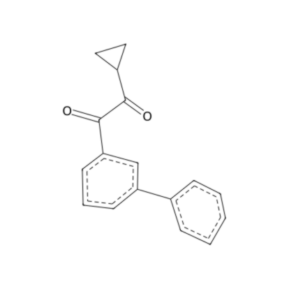 O=C(C(=O)C1CC1)c1cccc(-c2ccccc2)c1